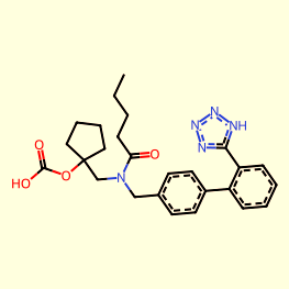 CCCCC(=O)N(Cc1ccc(-c2ccccc2-c2nnn[nH]2)cc1)CC1(OC(=O)O)CCCC1